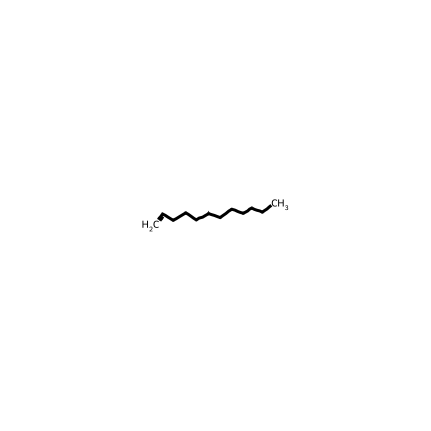 C=CCCC[CH]CCCCCC